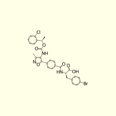 Cc1noc(-c2ccc(C(=O)N[C@H](Cc3ccc(Br)cc3)C(=O)O)cc2)c1NC(=O)O[C@H](C)c1ccccc1Cl